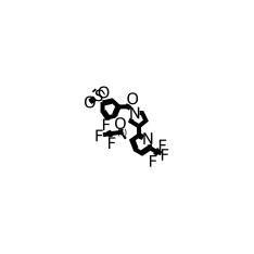 C[C@H](Oc1ccc(S(C)(=O)=O)cc1C(=O)N1CCC(c2cccc(C(F)(F)F)n2)C1)C(F)(F)F